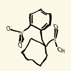 O=[N+]([O-])c1c[c]ccc1C1(S(=O)O)CCCCC1